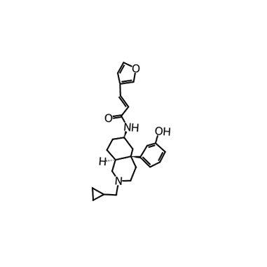 O=C(/C=C/c1ccoc1)N[C@@H]1CC[C@@H]2CN(CC3CC3)CC[C@@]2(c2cccc(O)c2)C1